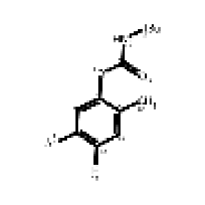 CC(=O)c1cc(OC(=O)NC(C)(C)C)c(C)cc1F